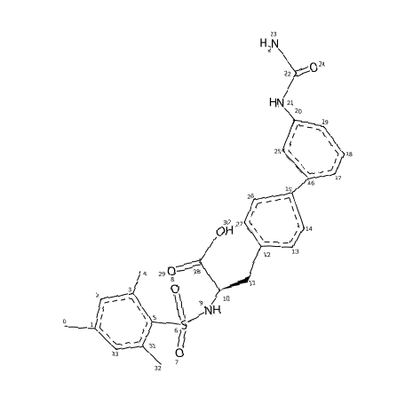 Cc1cc(C)c(S(=O)(=O)N[C@H](Cc2ccc(-c3cccc(NC(N)=O)c3)cc2)C(=O)O)c(C)c1